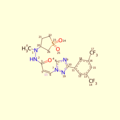 CN(NC(=O)/C=C\n1cnc(-c2cc(C(F)(F)F)cc(C(F)(F)F)c2)n1)C1CCS(=O)(=O)C1